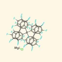 Fc1c(F)c(F)c(-c2c(F)c(F)c(F)c(F)c2[B-](c2c(F)c(F)c(F)c(F)c2-c2c(F)c(F)c(F)c(F)c2F)(c2c(F)c(F)c(F)c(F)c2-c2c(F)c(F)c(F)c(F)c2F)c2c(F)c(F)c(F)c(F)c2-c2c(F)c(F)c(F)c(F)c2F)c(F)c1F.[Mg+][Cl]